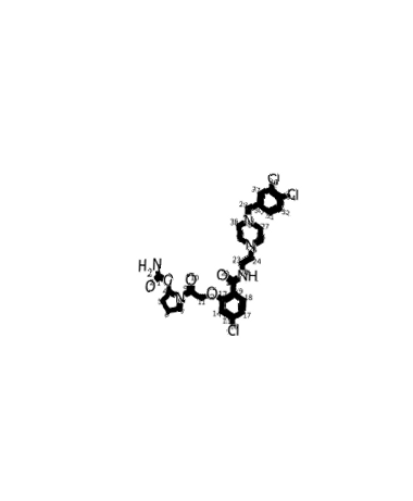 NC(=O)OC1CCCN1C(=O)COc1cc(Cl)ccc1C(=O)NCCN1CCN(Cc2ccc(Cl)c(Cl)c2)CC1